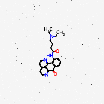 CCN(CC)CCCC(=O)Nc1cccc2c1-c1nccc3ccnc(c13)C2=O